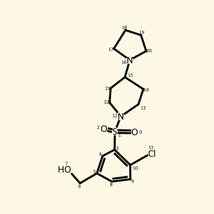 O=S(=O)(c1cc(CO)ccc1Cl)N1CCC(N2CCCC2)CC1